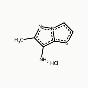 Cc1nn2ccsc2c1N.Cl